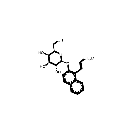 CCOC(=O)/C=C/c1c(O[C@@H]2O[C@H](CO)[C@H](O)[C@H](O)[C@H]2O)ccc2ccccc12